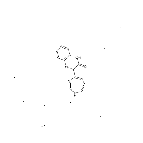 O=C(O)C(Oc1ccccc1)C1=CC=CNC=N1